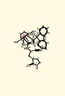 N#C[C@@H](C[C@H]1CCNC1=O)NC(=O)[C@H]1[C@@H]2CC[C@@H](CC2(F)F)N1C(=O)C1(O)c2ccccc2-c2ccccc21